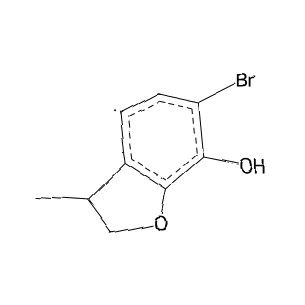 CC1COc2c1[c]cc(Br)c2O